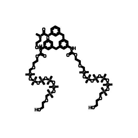 CN(CCO)C(=O)Nc1cccc(Cc2cc(Cc3cccc(NC(=O)OCCOC[Si](C)(C)O[Si](C)(C)O[Si](C)(C)O[Si](C)(C)O[Si](C)(C)O[Si](C)(C)COCCO)c3)cc(NC(=O)OCCOC[Si](C)(C)O[Si](C)(C)O[Si](C)(C)O[Si](C)(C)O[Si](C)(C)O[Si](C)(C)COCCO)c2)c1